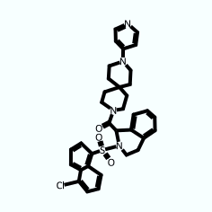 O=C(C1c2ccccc2CCN1S(=O)(=O)c1cccc2c(Cl)cccc12)N1CCC2(CC1)CCN(c1ccncc1)CC2